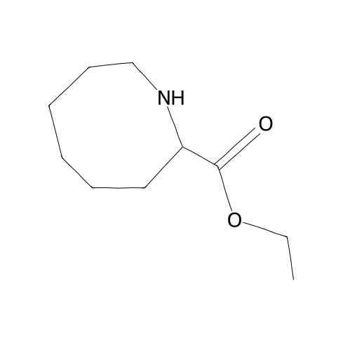 CCOC(=O)C1CCCCCCN1